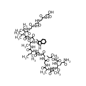 CC[C@H](C)C(NC(=O)CNC(=O)[C@H](CCC(=O)O)NC(=O)CNC(=O)[C@H](C)NC(=O)[C@H](C)NC(=O)[C@H](CCC(N)=O)NC(C)=O)C(=O)N[C@@H](C)C(=O)N[C@@H](Cc1c[nH]c2ccccc12)C(=O)NCC(=O)N(C(C)C)C(C(=O)NCC(=O)NCC(=O)NCC(=O)NCC(=O)O)C(C)C